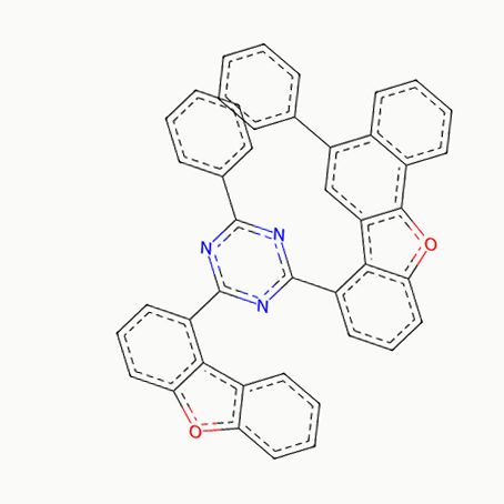 c1ccc(-c2nc(-c3cccc4oc5ccccc5c34)nc(-c3cccc4oc5c6ccccc6c(-c6ccccc6)cc5c34)n2)cc1